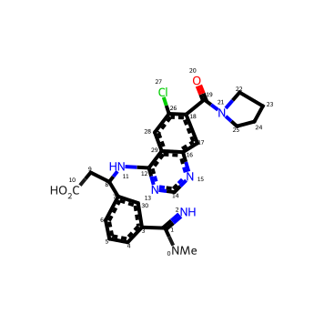 CNC(=N)c1cccc(C(CC(=O)O)Nc2ncnc3cc(C(=O)N4CCCC4)c(Cl)cc23)c1